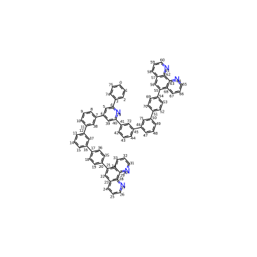 c1ccc(-c2cc(-c3cccc(-c4cccc(-c5ccc(-c6cc7cccnc7c7ncccc67)cc5)c4)c3)cc(-c3cccc(-c4cccc(-c5ccc(-c6cc7cccnc7c7ncccc67)cc5)c4)c3)n2)cc1